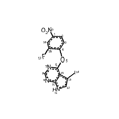 O=[N+]([O-])c1ccc(Oc2ncnc3[nH]cc(I)c23)c(F)c1